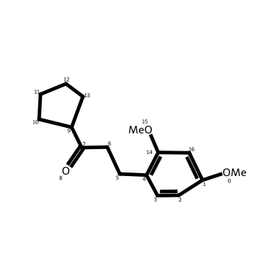 COc1ccc(CCC(=O)C2CCCC2)c(OC)c1